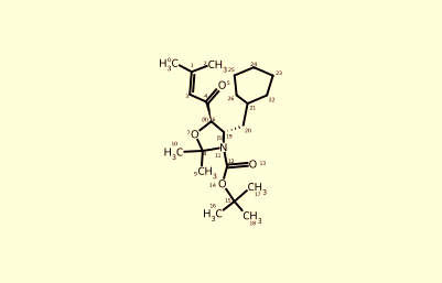 CC(C)=CC(=O)[C@@H]1OC(C)(C)N(C(=O)OC(C)(C)C)[C@H]1CC1CCCCC1